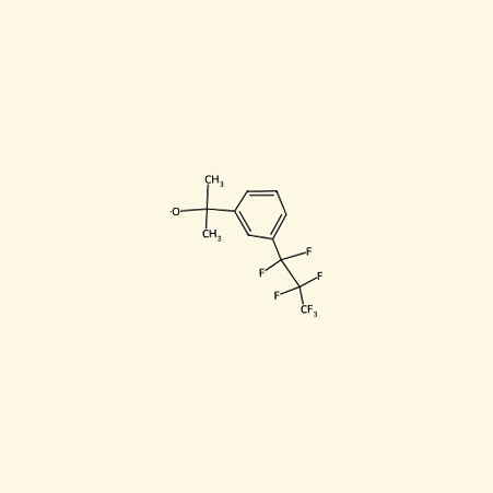 CC(C)([O])c1cccc(C(F)(F)C(F)(F)C(F)(F)F)c1